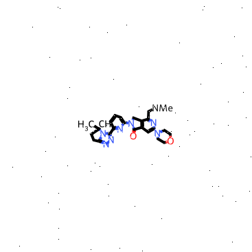 CNCc1nc(N2CCOCC2)cc2c1CN(c1cccc(-c3nnc4n3C(C)(C)CC4)n1)C2=O